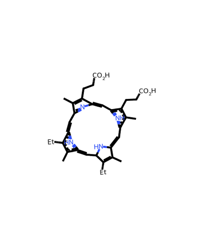 CCC1=C(C)C2=Cc3[nH]c(c(CCC(=O)O)c3C)C=C3N=C(C=c4[nH]c(c(C)c4CC)=CC1N2)C(C)=C3CCC(=O)O